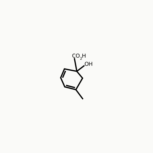 CC1=CC=CC(O)(C(=O)O)C1